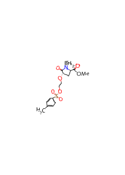 BN1C(=O)[C@@H](OCCOS(=O)(=O)c2ccc(C)cc2)CC1C(=O)OC